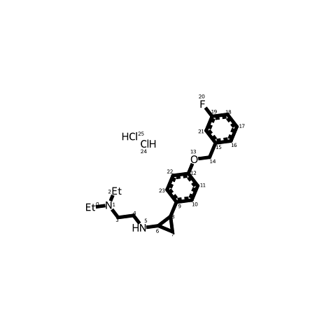 CCN(CC)CCNC1CC1c1ccc(OCc2cccc(F)c2)cc1.Cl.Cl